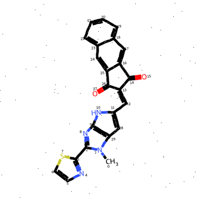 Cn1c(-c2nccs2)nc2[nH]c(C=C3C(=O)c4cc5ccccc5cc4C3=O)cc21